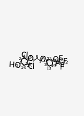 Oc1cc(Cl)c(OCCCOc2cccc(OC(F)(F)C(F)F)c2)c(Cl)c1